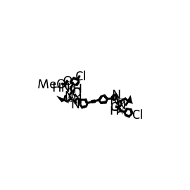 COC(=O)N[C@@H](C(=O)N1CC2(CC2)C[C@H]1c1nc2ccc(C#Cc3ccc(-c4cnc([C@@H]5CC6(CC6)CN5C(=O)[C@H](C)c5ccc(Cl)cc5)[nH]4)cc3)cc2[nH]1)c1ccc(Cl)cc1